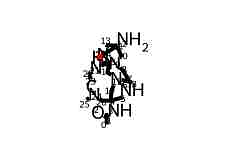 CC(=O)N[C@]12CNCCN3C[C@]4(N)CN(CCN(C)C1)[C@@H]3N(CCN(C)C2)C4